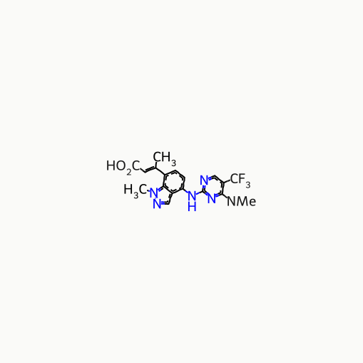 CNc1nc(Nc2ccc(C(C)=CC(=O)O)c3c2cnn3C)ncc1C(F)(F)F